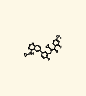 O=C(c1ccc(C(F)(F)F)cc1F)N(Cc1cc(-c2ccc3ncnc(NC4CC4)c3c2)ccc1F)C1CC1